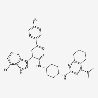 CCc1cccc2c(C(CC(=O)c3ccc(C(C)(C)C)cc3)C(=O)N[C@H]3CC[C@@H](Nc4nc5c(c(N(C)C)n4)CCCC5)CC3)c[nH]c12